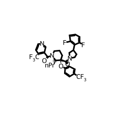 CCC[C@H]1N(C(=O)c2cnccc2C(F)(F)F)CCC[C@@]1(Oc1ccc(C(F)(F)F)cc1)C(=O)N1CCC(c2c(F)cccc2F)C1